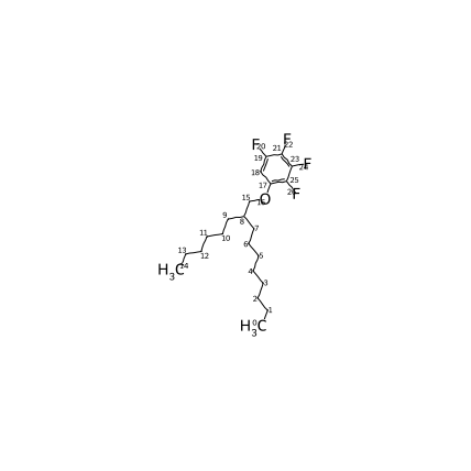 CCCCCCCCC(CCCCCC)COc1cc(F)c(F)c(F)c1F